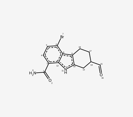 NC(=O)c1ccc(Br)c2c3c([nH]c12)CC(C=O)CC3